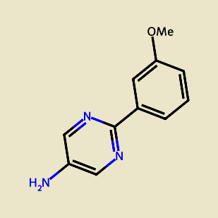 COc1cccc(-c2ncc(N)cn2)c1